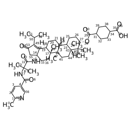 Cc1ccc(C(=O)NC(C)(C)C(=O)N[C@@]23CC[C@]4(C)[C@H](CC[C@@H]5[C@@]6(C)CC[C@H](OC(=O)C7CCC(C(=O)O)CC7)C(C)(C)[C@@H]6CC[C@]54C)C2=C(C(C)C)C(=O)C3)cn1